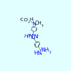 CN(CC(=O)O)c1ccc(-c2nc(-c3ccc(C(=N)N)cc3)c[nH]2)cc1